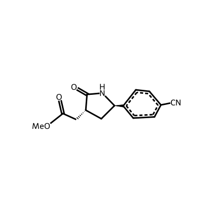 COC(=O)C[C@H]1C[C@H](c2ccc(C#N)cc2)NC1=O